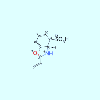 C=CC(=O)NC1(C)C=CC=CC1S(=O)(=O)O